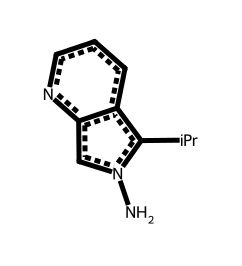 CC(C)c1c2cccnc2cn1N